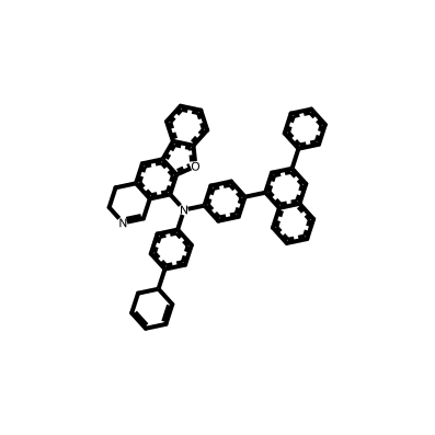 C1=CCC(c2ccc(N(c3ccc(-c4cc(-c5ccccc5)cc5ccccc45)cc3)c3c4c(cc5c3oc3ccccc35)CCN=C4)cc2)C=C1